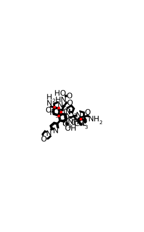 CC1(C)C(C(=O)NC(=O)O)([C@@H]2CC[C@@H](C3(C(=O)NC(=O)O)N4CCC5(C(N)=O)c6ccc(cc6)[C@@]45C3(C)C)N2c2ccc(-c3ccc(N4CCOCC4)nc3)cc2)N2CCC3(C(N)=O)c4ccc(cc4)[C@@]231